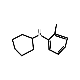 Cc1ccccc1PC1CCCCC1